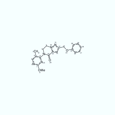 COc1ncc(C)c(N2CCn3nc(COc4ccccc4)cc3C2=O)n1